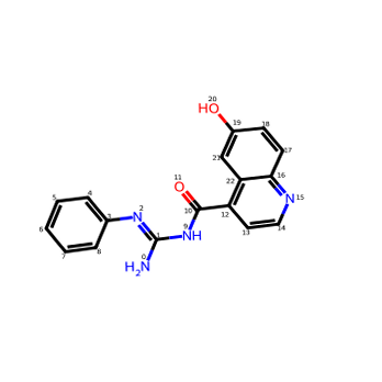 NC(=Nc1ccccc1)NC(=O)c1ccnc2ccc(O)cc12